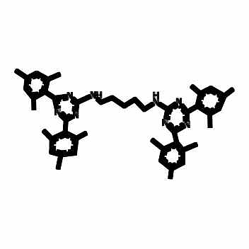 Cc1cc(C)c(-c2nc(NCCCCCNc3nc(-c4c(C)cc(C)cc4C)nc(-c4c(C)cc(C)cc4C)n3)nc(-c3c(C)cc(C)cc3C)n2)c(C)c1